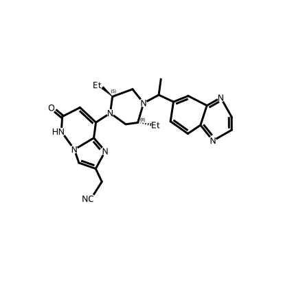 CC[C@H]1CN(C(C)c2ccc3nccnc3c2)[C@H](CC)CN1c1cc(=O)[nH]n2cc(CC#N)nc12